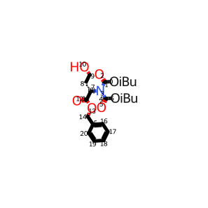 CC(C)COC(=O)N(C(=O)OCC(C)C)[C@@H](CCO)C(=O)OCc1ccccc1